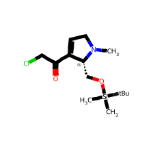 CN1CC=C(C(=O)CCl)[C@H]1CO[Si](C)(C)C(C)(C)C